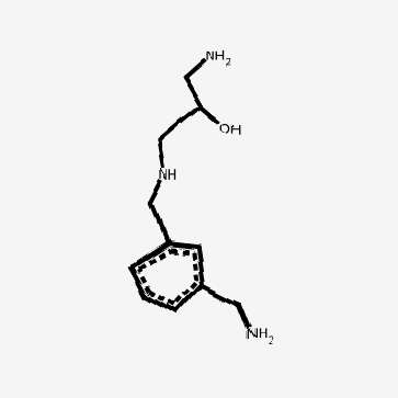 NCc1cccc(CNCC(O)CN)c1